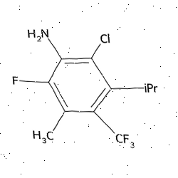 Cc1c(F)c(N)c(Cl)c(C(C)C)c1C(F)(F)F